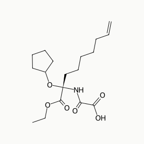 C=CCCCCC[C@](NC(=O)C(=O)O)(OC1CCCC1)C(=O)OCC